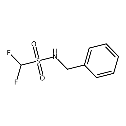 O=S(=O)(NCc1ccccc1)C(F)F